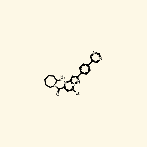 CCc1cc(C(=O)N2CCCCCC2C)nc2cc(-c3ccc(-c4cncnc4)cc3)nn12